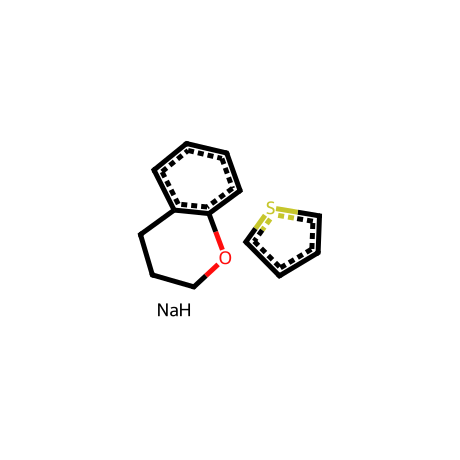 [NaH].c1ccc2c(c1)CCCO2.c1ccsc1